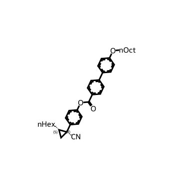 CCCCCCCCOc1ccc(-c2ccc(C(=O)Oc3ccc([C@@]4(C#N)C[C@@H]4CCCCCC)cc3)cc2)cc1